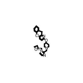 Clc1ccccc1Cc1cccc(OC2CCN(Cc3nccn3C[C@@H]3CCO3)CC2)n1